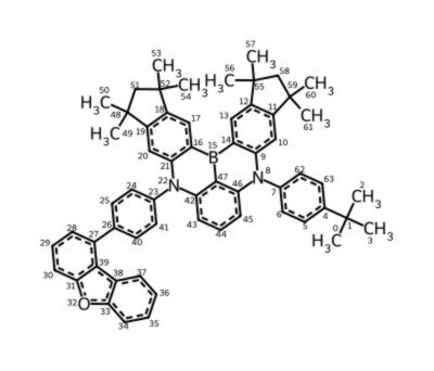 CC(C)(C)c1ccc(N2c3cc4c(cc3B3c5cc6c(cc5N(c5ccc(-c7cccc8oc9ccccc9c78)cc5)c5cccc2c53)C(C)(C)CC6(C)C)C(C)(C)CC4(C)C)cc1